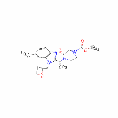 C[C@@H](c1nc2ccc(C(=O)O)cc2n1C[C@@H]1CCO1)N1CCN(C(=O)OC(C)(C)C)CC1=O